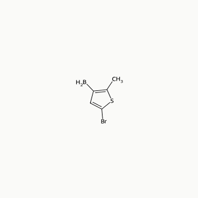 Bc1cc(Br)sc1C